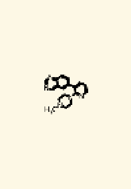 CN1CCN(c2ncccc2-c2ccc3ncncc3c2)CC1